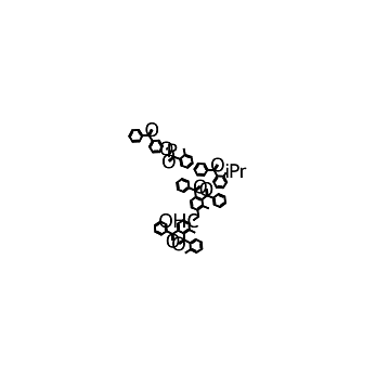 CC(C)c1ccccc1C(=O)c1ccccc1.Cc1c(CC=O)ccc(C(=O)c2ccccc2)c1C(=O)c1ccccc1.Cc1ccccc1C(=O)P=O.Cc1ccccc1C(=O)c1c(C)cccc1C(=O)c1ccccc1.O=C(c1ccccc1)c1ccccc1